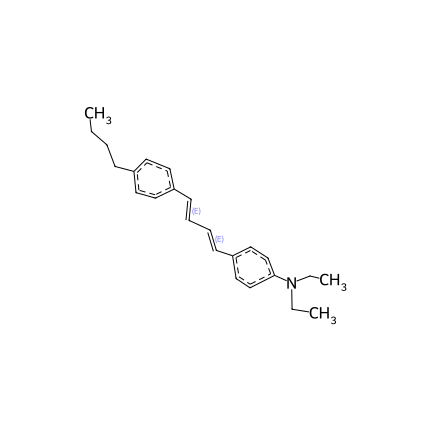 CCCCc1ccc(/C=C/C=C/c2ccc(N(CC)CC)cc2)cc1